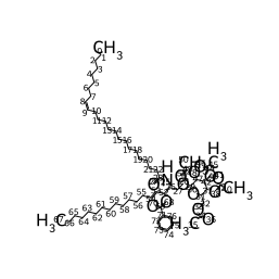 CCCCCCCC/C=C\CCCCCCCCCCCCCC(=O)N[C@@H](CO[C@H]1O[C@H](COC(C)=O)[C@H](OC(C)=O)[C@H](OC(C)=O)[C@H]1OC(C)=O)[C@@H](/C=C/CCCCCCCCCCCCC)OC(=O)c1ccccc1